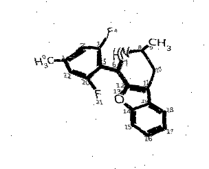 Cc1cc(F)c(C2NC(C)Cc3c2oc2ccccc32)c(F)c1